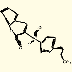 CCc1ccc(S(=O)(=O)c2cc3ccccc3oc2=O)cc1